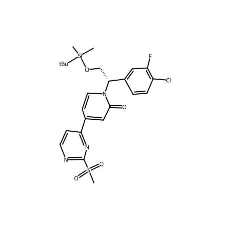 CC(C)(C)[Si](C)(C)OC[C@H](c1ccc(Cl)c(F)c1)n1ccc(-c2ccnc(S(C)(=O)=O)n2)cc1=O